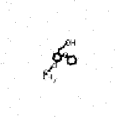 COCCOc1ccc(CCCO)c(OC2CCCCC2)c1